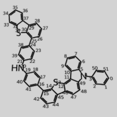 c1ccc(-n2c3ccccc3c3c4sc5c(-c6ccc(Nc7ccc(-c8cccc9c8sc8ccccc89)cc7)cc6)cccc5c4ccc32)cc1